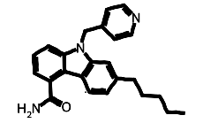 CCCCCc1c[c]c2c3c(C(N)=O)cccc3n(Cc3ccncc3)c2c1